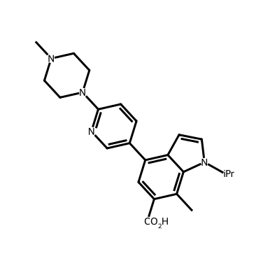 Cc1c(C(=O)O)cc(-c2ccc(N3CCN(C)CC3)nc2)c2ccn(C(C)C)c12